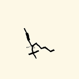 CC#C[C@@](C)(CCCCC)C(C)(C)C